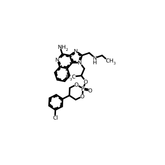 CCNCc1nc2c(N)nc3ccccc3c2n1CC(C)OP1(=O)OCC(c2cccc(Cl)c2)CO1